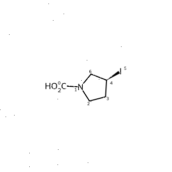 O=C(O)N1CC[C@H](I)C1